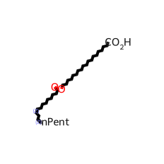 CCCCC/C=C\C/C=C\CCCCCCCC(=O)OCCCCCCCCCCCCCCCCCCC(=O)O